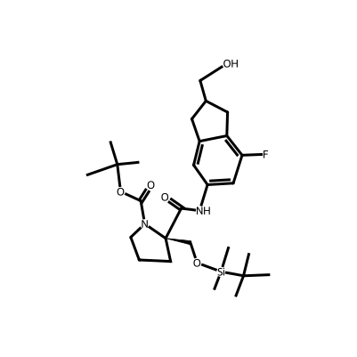 CC(C)(C)OC(=O)N1CCC[C@@]1(CO[Si](C)(C)C(C)(C)C)C(=O)Nc1cc(F)c2c(c1)CC(CO)C2